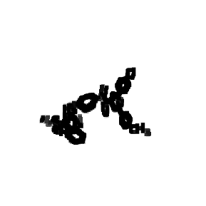 Cc1ccc(C(=O)CC(SCc2ccc(Cl)cc2)C(=O)N[C@H]2CC[C@@H](Nc3nc4c(c(N(C)C)n3)CCCC4)CC2)cc1